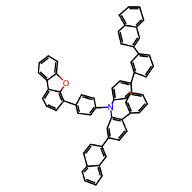 c1ccc(-c2ccc(-c3ccc4ccccc4c3)cc2N(c2ccc(-c3cccc(-c4ccc5ccccc5c4)c3)cc2)c2ccc(-c3cccc4c3oc3ccccc34)cc2)cc1